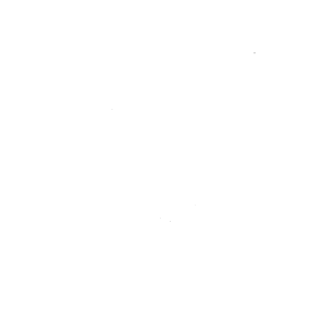 C[C](C)=[Zr+2][CH]1c2ccccc2-c2cccc(C3C([SiH](C)C)=C(CCO[Si](C)(C)C)c4ccccc43)c21.[Cl-].[Cl-]